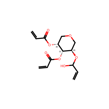 C=CC(=O)O[C@@H]1[C@H](OC(=O)C=C)COC[C@H]1OC(O)C=C